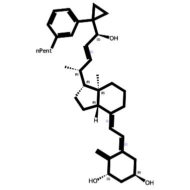 C=C1/C(=C\C=C2/CCC[C@]3(C)[C@@H]([C@H](C)/C=C/[C@H](O)C4(c5cccc(CCCCC)c5)CC4)CC[C@@H]23)C[C@@H](O)C[C@@H]1O